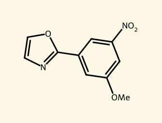 COc1cc(-c2ncco2)cc([N+](=O)[O-])c1